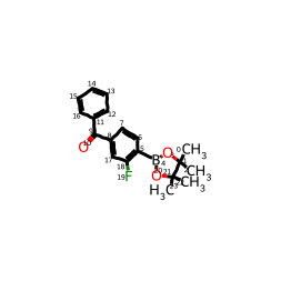 CC1(C)OB(c2ccc(C(=O)c3ccccc3)cc2F)OC1(C)C